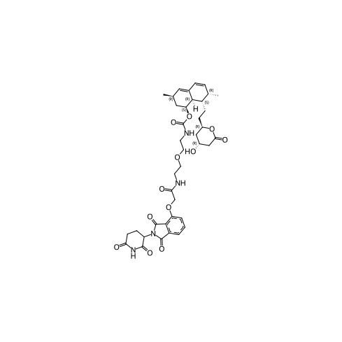 C[C@H]1C=C2C=C[C@H](C)[C@H](CC[C@@H]3C[C@@H](O)CC(=O)O3)[C@H]2[C@@H](OC(=O)NCCOCCNC(=O)COc2cccc3c2C(=O)N(C2CCC(=O)NC2=O)C3=O)C1